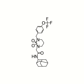 O=C(CN1CCCN(Cc2ccc(OC(F)(F)F)cc2)S1(=O)=O)NC1C2CC3CC(C2)CC1C3